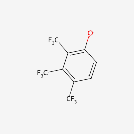 [O]c1ccc(C(F)(F)F)c(C(F)(F)F)c1C(F)(F)F